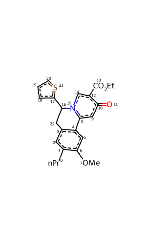 CCCc1cc2c(cc1OC)-c1cc(=O)c(C(=O)OCC)cn1C(c1cccs1)C2